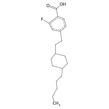 CCCCCC1CCC(CCc2ccc(C(=O)O)c(F)c2)CC1